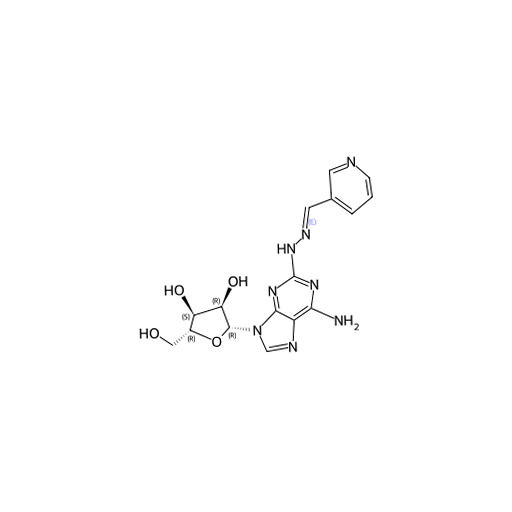 Nc1nc(N/N=C/c2cccnc2)nc2c1ncn2[C@@H]1O[C@H](CO)[C@@H](O)[C@H]1O